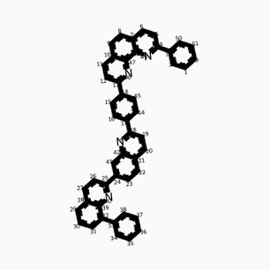 c1ccc(-c2ccc3ccc4ccc(-c5ccc(-c6ccc7ccc(-c8ccc9cccc(-c%10ccccc%10)c9n8)cc7n6)cc5)nc4c3n2)cc1